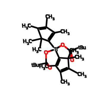 CC1=C(C)C(C)(C)[C]([Ti]([O]C(=O)C(C)(C)C)([O]C(=O)C(C)(C)C)[C]2=C(C)C(C)=C(C)C2(C)C)=C1C